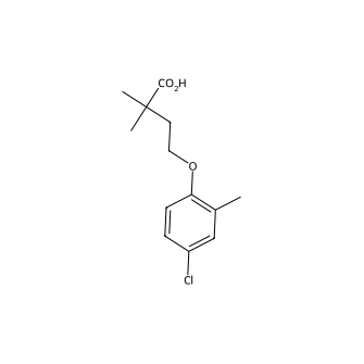 Cc1cc(Cl)ccc1OCCC(C)(C)C(=O)O